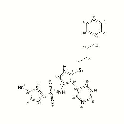 O=S(=O)(Nc1n[nH]c(SCCCCc2ccccc2)c1-c1cnccn1)c1ccc(Br)s1